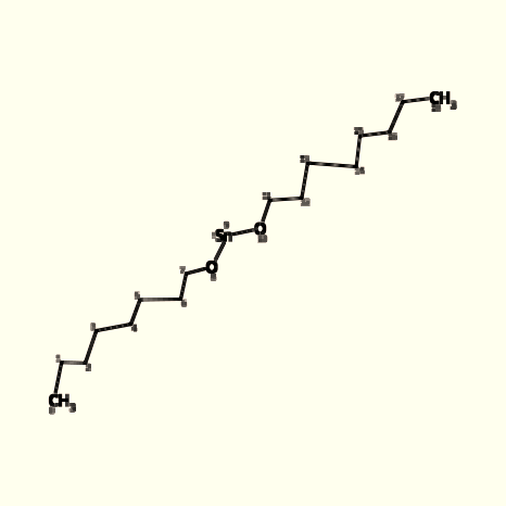 CCCCCCCC[O][Sn][O]CCCCCCCC